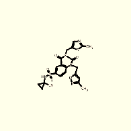 Cc1cc(Cn2c(=O)n(Cc3cnc(C)s3)c(=O)c3cc(S(=O)(=O)NC4(C#N)CC4)ccc32)on1